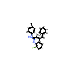 Cc1ccc(Nc2nc3c(F)cccc3c(Cc3ccccc3)c2[N+](=O)[O-])cc1